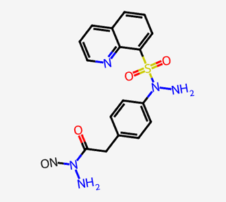 NN(N=O)C(=O)Cc1ccc(N(N)S(=O)(=O)c2cccc3cccnc23)cc1